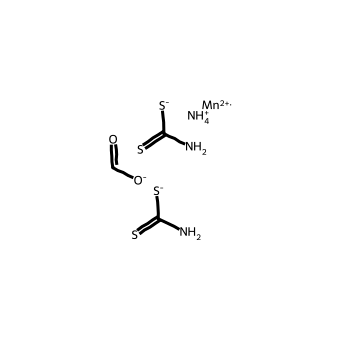 NC(=S)[S-].NC(=S)[S-].O=C[O-].[Mn+2].[NH4+]